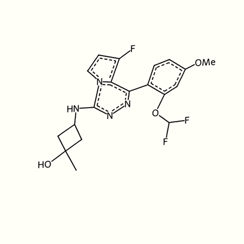 COc1ccc(-c2nnc(NC3CC(C)(O)C3)n3ccc(F)c23)c(OC(F)F)c1